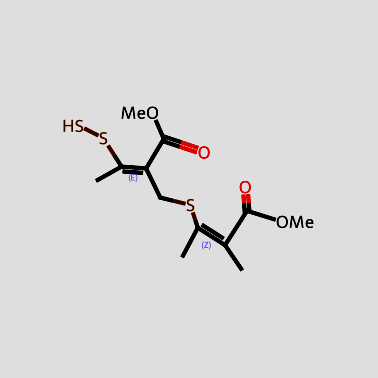 COC(=O)/C(C)=C(/C)SC/C(C(=O)OC)=C(\C)SS